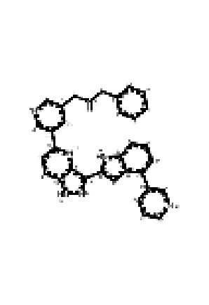 c1ccc(CNCc2cncc(-c3ccc4[nH]nc(-c5cc6c(-c7cccnc7)cccc6[nH]5)c4n3)c2)cc1